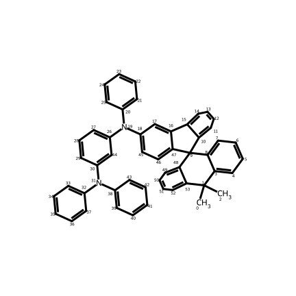 CC1(C)c2ccccc2C2(c3ccccc3-c3cc(N(c4ccccc4)c4cccc(N(c5ccccc5)c5ccccc5)c4)ccc32)c2ccccc21